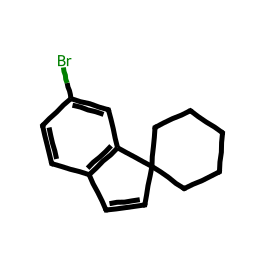 Brc1ccc2c(c1)C1(C=C2)CCCCC1